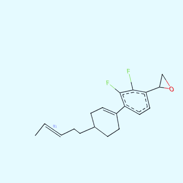 C/C=C/CCC1CC=C(c2ccc(C3CO3)c(F)c2F)CC1